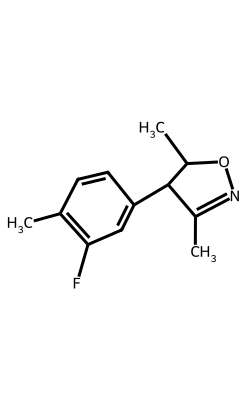 CC1=NOC(C)C1c1ccc(C)c(F)c1